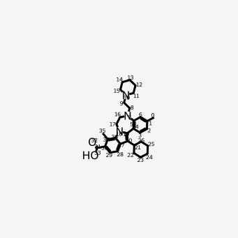 Cc1ccc2c(c1)N(CCN1CCCCC1)CCn1c-2c(C2CCCCC2)c2ccc(C(=O)O)c(C)c21